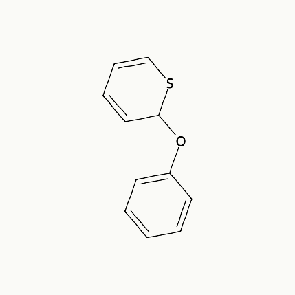 C1=CSC(Oc2ccccc2)C=C1